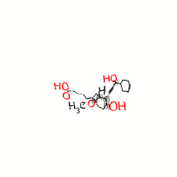 CCO[C@@]12CC[C@H](O)[C@@H](C#C[C@@H](O)C3CCCCC3)[C@@H]1CC2=CCCCC(=O)O